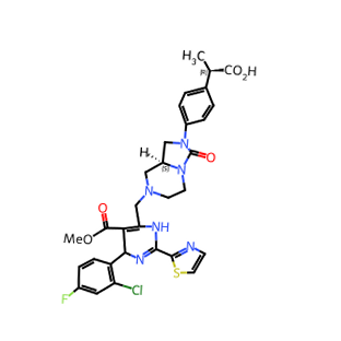 COC(=O)C1=C(CN2CCN3C(=O)N(c4ccc([C@@H](C)C(=O)O)cc4)C[C@@H]3C2)NC(c2nccs2)=NC1c1ccc(F)cc1Cl